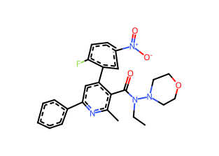 CCN(C(=O)c1c(-c2cc([N+](=O)[O-])ccc2F)cc(-c2ccccc2)nc1C)N1CCOCC1